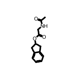 CC(=O)NCC(=O)OC1Cc2ccccc2C1